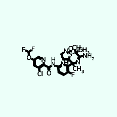 CC1(C)C(N)=N[C@](C)(c2nc(NC(=O)c3ncc(OC(F)F)cc3Cl)ccc2F)[C@@H]2CCN=[S@@]21=O